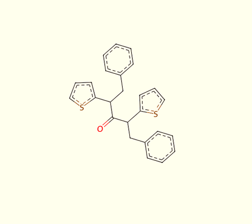 O=C(C(Cc1ccccc1)c1cccs1)C(Cc1ccccc1)c1cccs1